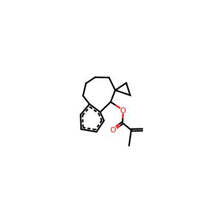 C=C(C)C(=O)OC1c2ccccc2CCCCC12CC2